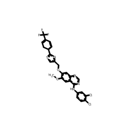 COc1cc2c(Nc3ccc(Cl)c(Cl)c3)ncnc2cc1OCc1csc(C2C=CC(C(F)(F)F)=CC2)n1